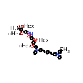 CCCCCCOc1cc(-c2ccc(-c3nnc(-c4ccc(-c5cc(OCCCCCC)c(-c6ccc(N(c7ccccc7)c7ccc(C=Cc8ccc(C=Cc9ccc(N(c%10ccccc%10)c%10ccc(C)cc%10)cc9)cc8)cc7)cc6)cc5OCCCCCC)cc4)o3)cc2)c(OCCCCCC)cc1C